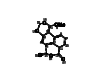 COC1=c2c(cc3c4c2=CC=CC4C(=O)OC3=O)OCO1